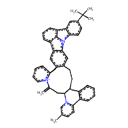 C=C1CC2C(CCc3cc4c(cc3-c3cccc[n+]31)c1cccc3c5cc(C(C)(C)C)ccc5n4c31)c1ccccc1-c1ccc(C)c[n+]12